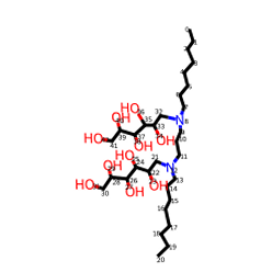 CCCCCCCCN(CCCN(CCCCCCCC)CC(O)C(O)C(O)C(O)CO)CC(O)C(O)C(O)C(O)CO